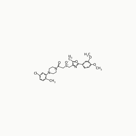 COc1ccc(-c2nc(C[S+]([O-])CC(=O)N3CCN(c4cc(Cl)ccc4C)CC3)c(C)o2)cc1OC